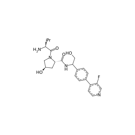 CC(C)[C@H](N)C(=O)N1C[C@H](O)C[C@H]1C(=O)NC(CO)c1ccc(-c2ccncc2F)cc1